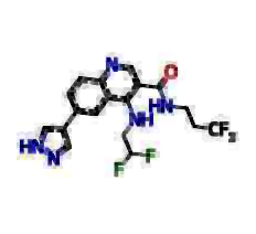 O=C(NCCC(F)(F)F)c1cnc2ccc(-c3cn[nH]c3)cc2c1NCC(F)F